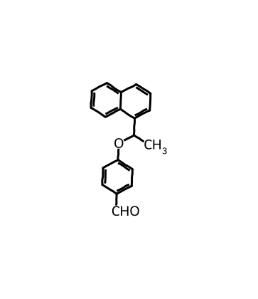 CC(Oc1ccc(C=O)cc1)c1cccc2ccccc12